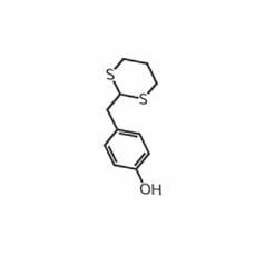 Oc1ccc(CC2SCCCS2)cc1